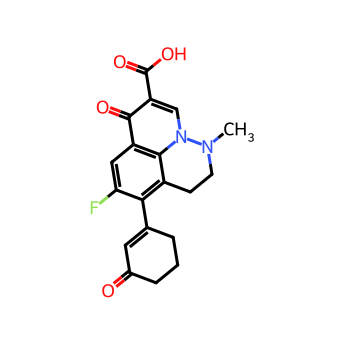 CN1CCc2c(C3=CC(=O)CCC3)c(F)cc3c(=O)c(C(=O)O)cn1c23